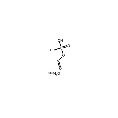 O.[NaH].[O]=[V][O]P(=O)(O)O